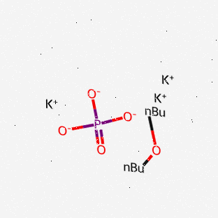 CCCCOCCCC.O=P([O-])([O-])[O-].[K+].[K+].[K+]